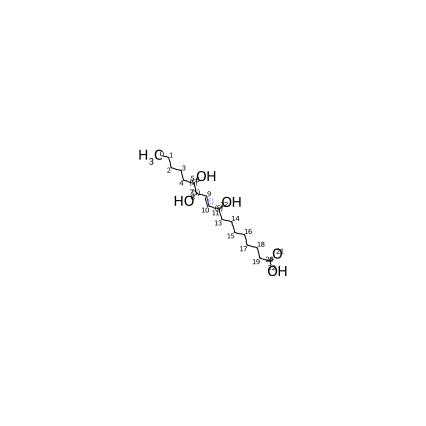 CCCCC[C@H](O)[C@@H](O)/C=C/[C@@H](O)CCCCCCCC(=O)O